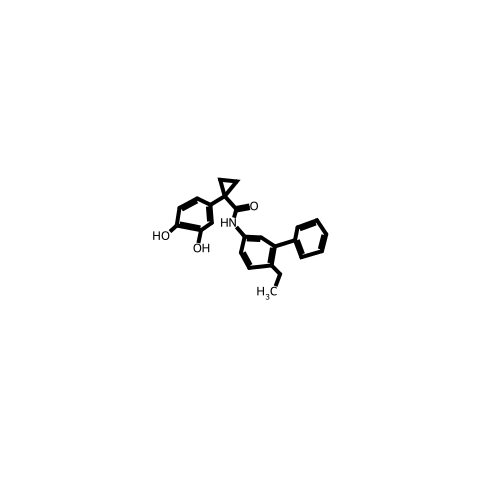 CCc1ccc(NC(=O)C2(c3ccc(O)c(O)c3)CC2)cc1-c1ccccc1